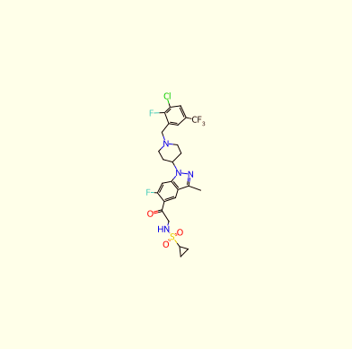 Cc1nn(C2CCN(Cc3cc(C(F)(F)F)cc(Cl)c3F)CC2)c2cc(F)c(C(=O)CNS(=O)(=O)C3CC3)cc12